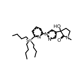 CCC[CH2][Sn]([CH2]CCC)([CH2]CCC)[c]1cccc(-n2cc(C3(O)CCN(C)C3=O)cn2)n1